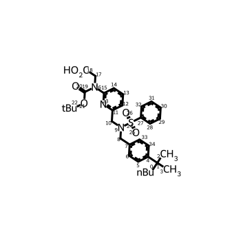 CCCCC(C)(C)c1ccc(CN(Cc2cccc(N(CC(=O)O)C(=O)OC(C)(C)C)n2)S(=O)(=O)c2ccccc2)cc1